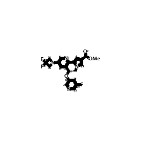 COC(=O)c1cc(-c2ncc(N3CC(F)(F)C3)cc2COc2cncc(F)c2)n(C)c1